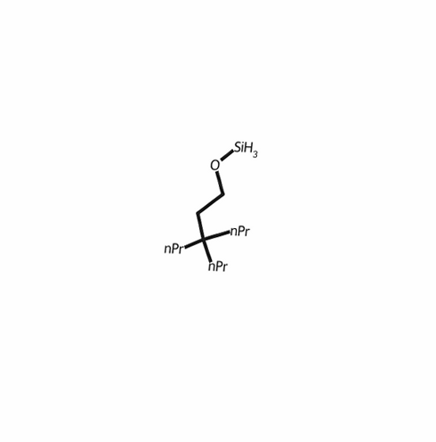 CCCC(CCC)(CCC)CCO[SiH3]